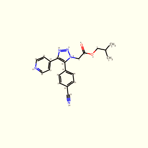 CC(C)COC(=O)Cn1nnc(-c2ccncc2)c1-c1ccc(C#N)cc1